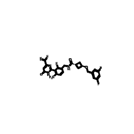 O=c1cc(C(F)F)nc(-c2c(C(F)(F)F)ccc(CNC(=O)[C@H]3C[C@H](OCc4cc(F)cc(F)c4)C3)c2F)[nH]1